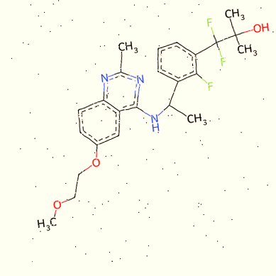 COCCOc1ccc2nc(C)nc(NC(C)c3cccc(C(F)(F)C(C)(C)O)c3F)c2c1